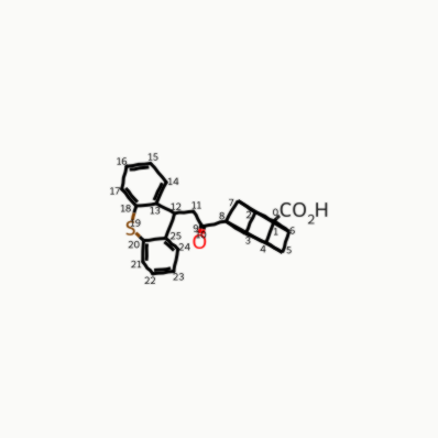 O=C(O)C12C3C4C1C1C2C3C41C(=O)CC1c2ccccc2Sc2ccccc21